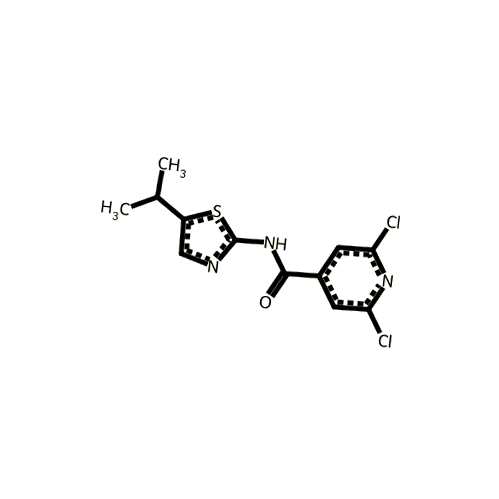 CC(C)c1cnc(NC(=O)c2cc(Cl)nc(Cl)c2)s1